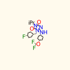 CC(C)n1c(=O)nc(Nc2ccc(OC(F)F)cc2)n(Cc2ccc(F)cc2)c1=O